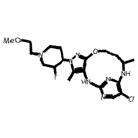 COCCN1CCC(n2nc3c(c2C)Nc2ncc(Cl)c(n2)NC(C)CCO3)C(F)C1